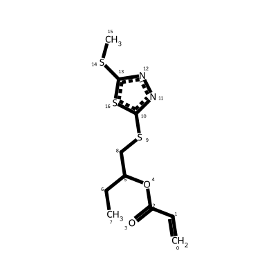 C=CC(=O)OC(CC)CSc1nnc(SC)s1